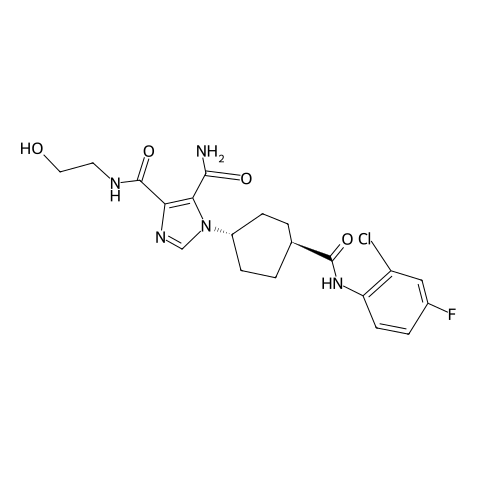 NC(=O)c1c(C(=O)NCCO)ncn1[C@H]1CC[C@H](C(=O)Nc2ccc(F)cc2Cl)CC1